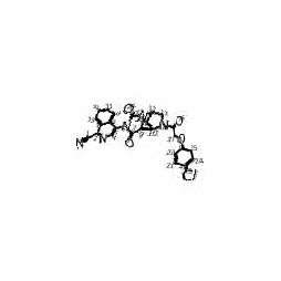 N#Cc1ncc(N2C(=O)C3C4CC(CN4C(=O)COc4ccc(Cl)cc4)N3C2=O)c2ccccc12